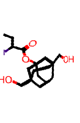 CCC(I)C(=O)OC12CC3CC(CO)(CC(CO)(C3)C1)C2